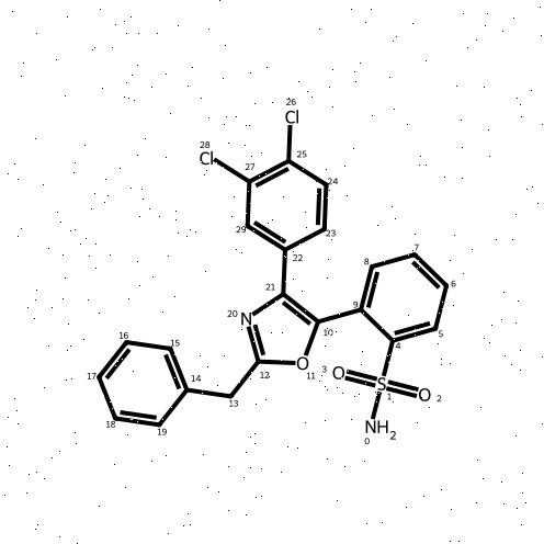 NS(=O)(=O)c1ccccc1-c1oc(Cc2ccccc2)nc1-c1ccc(Cl)c(Cl)c1